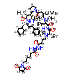 CC[C@H](C)[C@@H]([C@@H](CC(=O)N1CCC[C@H]1[C@H](OC)[C@@H](C)C(=O)N[C@H](/C=C/c1ccccc1)Cc1ccccc1)OC)N(C)[C@H](C(=O)NC(=O)[C@H](C(C)C)N(C)CCCC(=O)NNC(=O)CCCCCN1C(=O)C=CC1=O)C(C)C